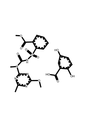 COC(=O)c1ccccc1S(=O)(=O)NC(=O)N(C)c1nc(C)nc(OC)n1.O=C(O)c1cc(O)ccc1O